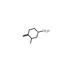 C=C1CCN(C(=O)O)CC1C